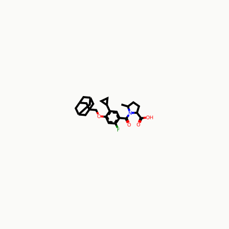 CC1CCC(C(=O)O)N1C(=O)c1cc(C2CC2)c(OCC23CC4CC(CC(C4)C2)C3)cc1F